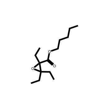 CCCCCOC(=O)C1(CC)OC1(CC)CC